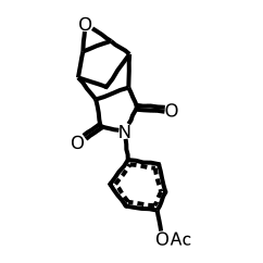 CC(=O)Oc1ccc(N2C(=O)C3C4CC(C5OC45)C3C2=O)cc1